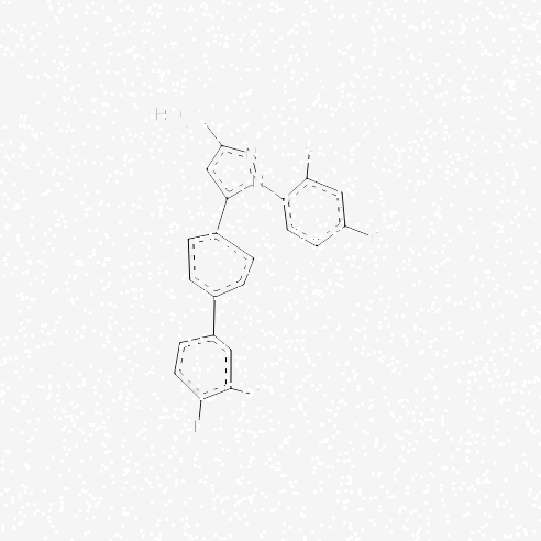 O=C(O)c1cc(-c2ccc(-c3ccc(F)c(Cl)c3)cc2)n(-c2ccc(Cl)cc2Cl)n1